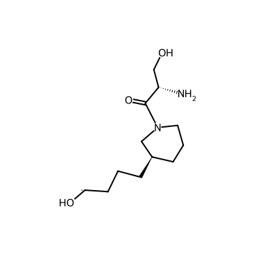 N[C@@H](CO)C(=O)N1CCC[C@@H](CCC[CH]O)C1